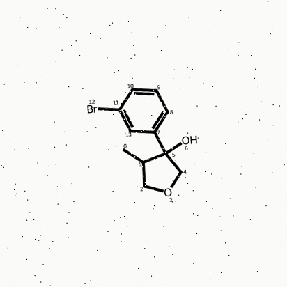 CC1COCC1(O)c1cccc(Br)c1